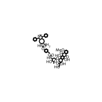 COc1cccc2c1C(=O)c1c(O)c3c(c(O)c1C2=O)C[C@@](O)(C(=O)CO)CC3OC1CC(NC(=O)OCc2ccc(OC(=O)NC3CCC4C(c5ccccc5)=NN=C(c5ccccc5)C4CCC3N)cc2)C(O)C(C)O1